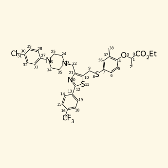 CCOC(=O)C(C)Oc1ccc(SCc2sc(-c3ccc(C(F)(F)F)cc3)nc2CN2CCN(c3ccc(Cl)cc3)CC2)cc1C